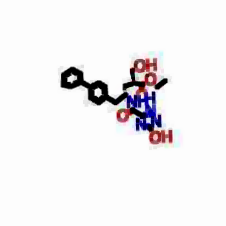 CCOC(=O)[C@H](CO)C[C@@H](Cc1ccc(-c2ccccc2)cc1)NC(=O)c1nc(O)n[nH]1